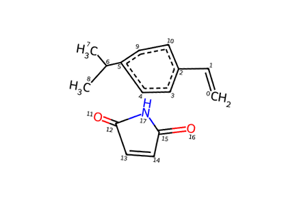 C=Cc1ccc(C(C)C)cc1.O=C1C=CC(=O)N1